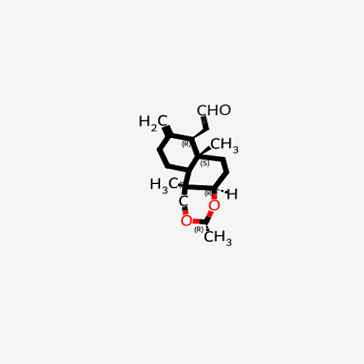 C=C1CCC2[C@]3(C)CO[C@@H](C)O[C@@H]3CC[C@@]2(C)[C@@H]1CC=O